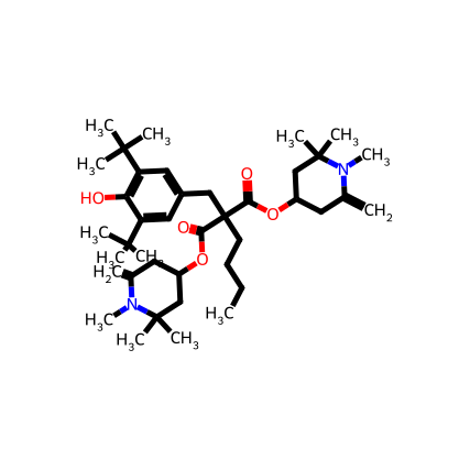 C=C1CC(OC(=O)C(CCCC)(Cc2cc(C(C)(C)C)c(O)c(C(C)(C)C)c2)C(=O)OC2CC(=C)N(C)C(C)(C)C2)CC(C)(C)N1C